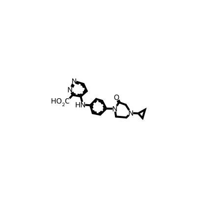 O=C(O)c1nnccc1Nc1ccc(N2CCN(C3CC3)CC2=O)cc1